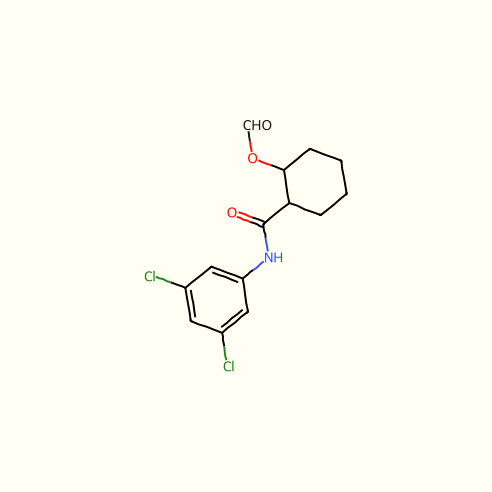 O=COC1CCCCC1C(=O)Nc1cc(Cl)cc(Cl)c1